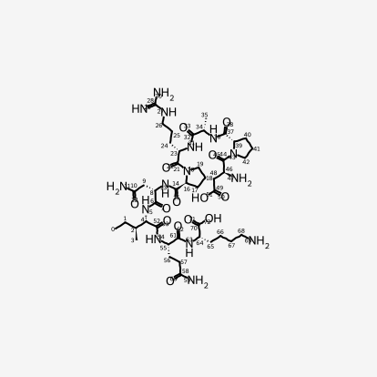 CC[C@H](C)[C@H](NC(=O)[C@H](CC(N)=O)NC(=O)[C@@H]1CCCN1C(=O)[C@H](CCCNC(=N)N)NC(=O)[C@H](C)NC(=O)[C@@H]1CCCN1C(=O)[C@@H](N)CC(=O)O)C(=O)N[C@@H](CCC(N)=O)C(=O)N[C@@H](CCCCN)C(=O)O